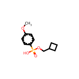 COc1ccc(P(=O)(O)OCC2CCC2)cc1